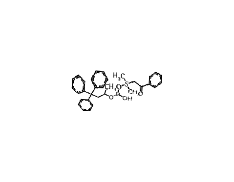 CC(CC(c1ccccc1)(c1ccccc1)c1ccccc1)OB(O)OS(C)(C)CC(=O)c1ccccc1